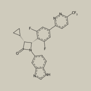 O=C1[C@H](C2CC2)[C@H](c2c(F)cc(-c3ccc(C(F)(F)F)nn3)cc2F)N1c1ccc2[nH]cnc2c1